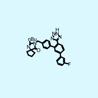 CCCCC1=NC2(CCCC2)C(=O)N1Cc1ccc(-c2cc(-c3cccc(F)c3)ccc2-c2nn[nH]n2)cc1